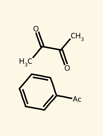 CC(=O)C(C)=O.CC(=O)c1ccccc1